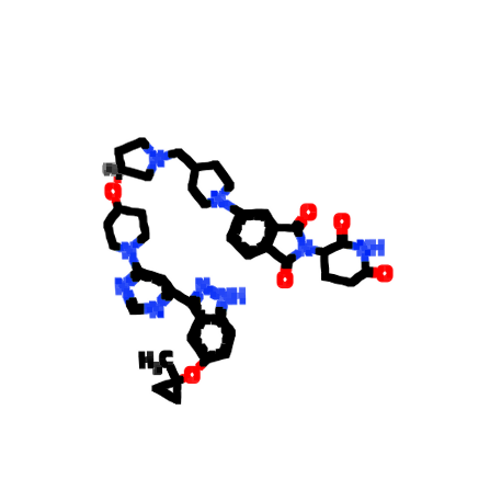 CC1(Oc2ccc3[nH]nc(-c4cc(N5CCC(O[C@@H]6CCN(CC7CCN(c8ccc9c(c8)C(=O)N(C8CCC(=O)NC8=O)C9=O)CC7)C6)CC5)ncn4)c3c2)CC1